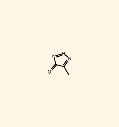 CC1=NN=NC1=O